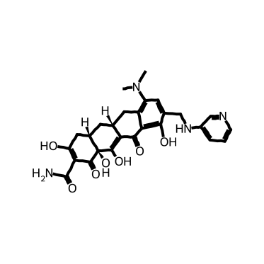 CN(C)c1cc(CNc2cccnc2)c(O)c2c1C[C@H]1C[C@H]3CC(O)=C(C(N)=O)C(=O)[C@@]3(O)C(O)=C1C2=O